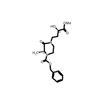 COC(=O)[C@H](O)CCN1CCN(C(=O)OCc2ccccc2)[C@@H](C)C1=O